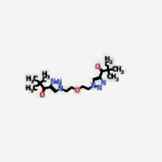 CC(C)(C)C(=O)c1cn(CCOCCn2cc(C(=O)C(C)(C)C)nn2)nn1